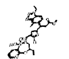 CCC1CN(Cc2cc(C(CC(=O)OC)c3ccc4c(nnn4CC)c3C)sc2Cl)S(O)(O)c2cccnc2O1